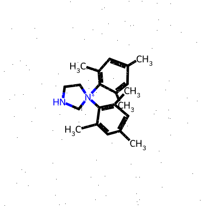 Cc1cc(C)c([N+]2(c3c(C)cc(C)cc3C)[C]NCC2)c(C)c1